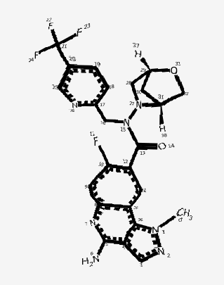 Cn1ncc2c(N)nc3cc(F)c(C(=O)N(Cc4ccc(C(F)(F)F)cn4)N4C[C@H]5C[C@@H]4CO5)cc3c21